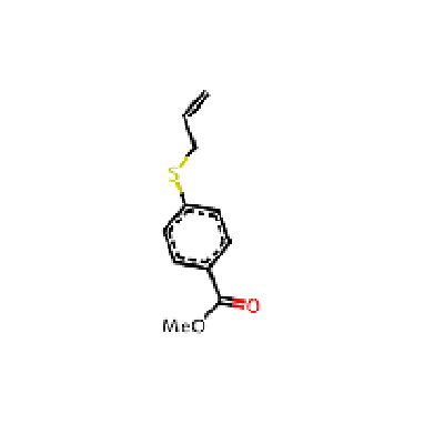 C=CCSc1ccc(C(=O)OC)cc1